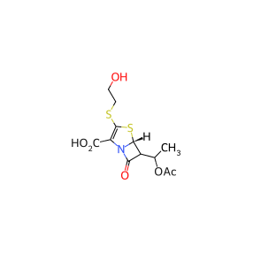 CC(=O)OC(C)C1C(=O)N2C(C(=O)O)=C(SCCO)S[C@H]12